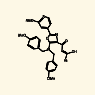 CCC(O)=CC(=O)c1nc(-c2ccnc(OC)c2)oc1N(Cc1ccc(OC)cc1)Cc1ccc(OC)cc1